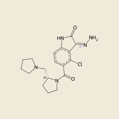 N/N=C1\C(=O)Nc2ccc(C(=O)N3CCC[C@@H]3CN3CCCC3)c(Cl)c21